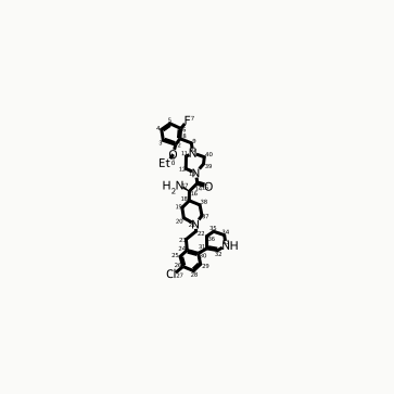 CCOc1cccc(F)c1CN1CCN(C(=O)[C@H](N)C2CCN(CCc3cc(Cl)ccc3C3=CNCCC3)CC2)CC1